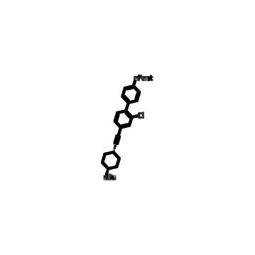 CCCCCc1ccc(-c2ccc(C#C[C@H]3CC[C@H](CCCC)CC3)cc2Cl)cc1